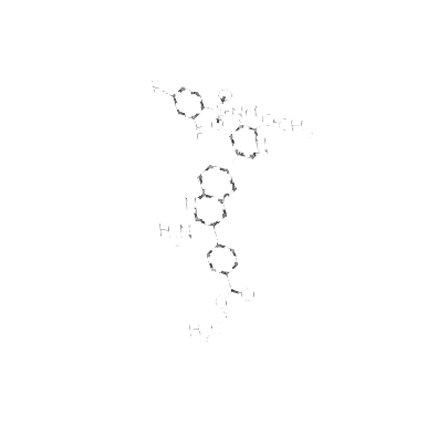 CCOC(=O)c1ccc(-c2cc3cc(-c4cnc(OC)c(NS(=O)(=O)c5ccc(F)cc5F)c4)ccc3nc2N)cc1